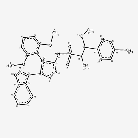 COc1cccc(OC)c1-n1c(NS(=O)(=O)C(C)C(OC)c2ncc(C)cn2)nnc1-c1noc2ccccc12